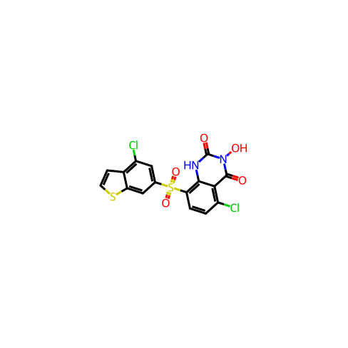 O=c1[nH]c2c(S(=O)(=O)c3cc(Cl)c4ccsc4c3)ccc(Cl)c2c(=O)n1O